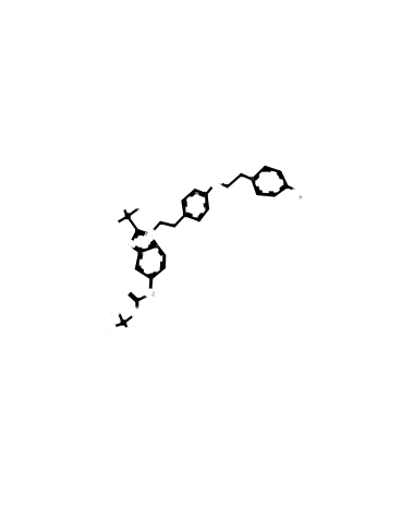 COc1ccc(CCOc2ccc(CCn3c(C(F)(F)F)nc4cc(NC(=O)OC(C)(C)C)ccc43)cc2)cc1